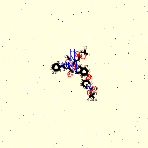 CC(=O)N[C@@H](CC(=O)OC(C)(C)C)C(=O)N[C@@H](CCc1ccccc1)C(=O)NCc1cc(OC2CCCN(C(=O)OC(C)(C)C)C2)ccc1C